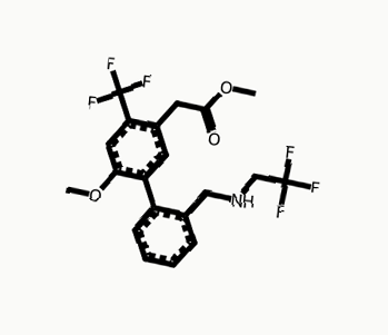 COC(=O)Cc1cc(-c2ccccc2CNCC(F)(F)F)c(OC)cc1C(F)(F)F